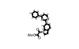 COC(=O)C(=O)n1ccc2ccc(-c3nccc(-c4ccccc4)n3)cc21